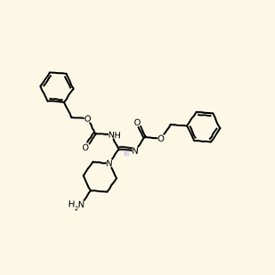 NC1CCN(/C(=N/C(=O)OCc2ccccc2)NC(=O)OCc2ccccc2)CC1